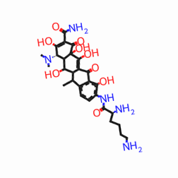 CC1c2ccc(NC(=O)[C@@H](N)CCCCN)c(O)c2C(=O)C2=C(O)C3(O)C(=O)C(C(N)=O)=C(O)[C@@H](N(C)C)C3C(O)C21